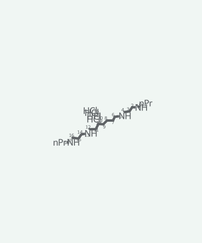 CCCNCCCNCCCCCCCNCCCNCCC.Cl.Cl.Cl.Cl